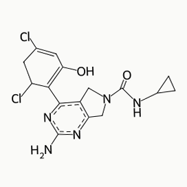 Nc1nc2c(c(C3=C(O)C=C(Cl)CC3Cl)n1)CN(C(=O)NC1CC1)C2